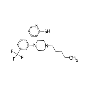 CCCCCN1CCN(c2cccc(C(F)(F)F)c2)CC1.Sc1ccccn1